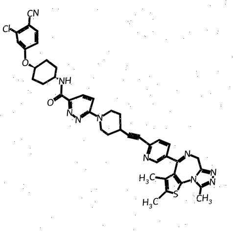 Cc1sc2c(c1C)C(c1ccc(C#CC3CCN(c4ccc(C(=O)N[C@H]5CC[C@H](Oc6ccc(C#N)c(Cl)c6)CC5)nn4)CC3)nc1)=NCc1nnc(C)n1-2